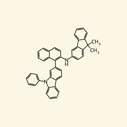 CC1(C)c2ccccc2-c2cc(Nc3ccc4ccccc4c3-c3ccc4c5ccccc5n(-c5ccccc5)c4c3)ccc21